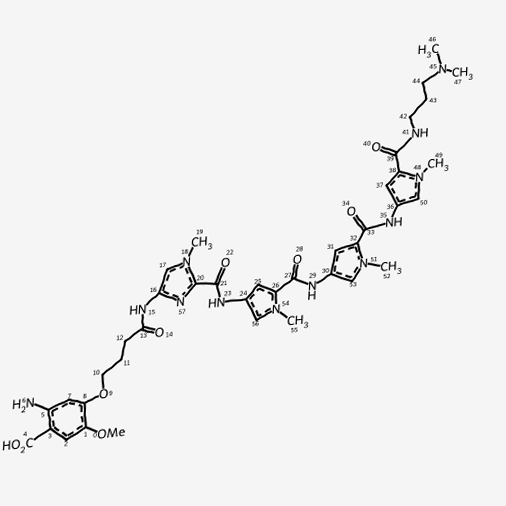 COc1cc(C(=O)O)c(N)cc1OCCCC(=O)Nc1cn(C)c(C(=O)Nc2cc(C(=O)Nc3cc(C(=O)Nc4cc(C(=O)NCCCN(C)C)n(C)c4)n(C)c3)n(C)c2)n1